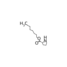 CCCCCCCCOC(=O)[C@@H]1CCCN1